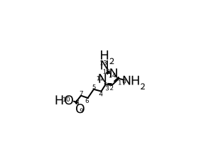 Nc1cc(CCCCC(=O)O)nc(N)n1